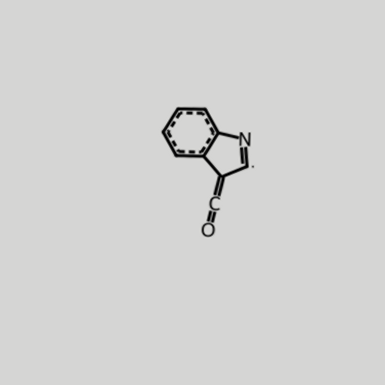 O=C=C1[C]=Nc2ccccc21